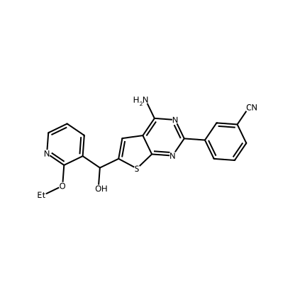 CCOc1ncccc1C(O)c1cc2c(N)nc(-c3cccc(C#N)c3)nc2s1